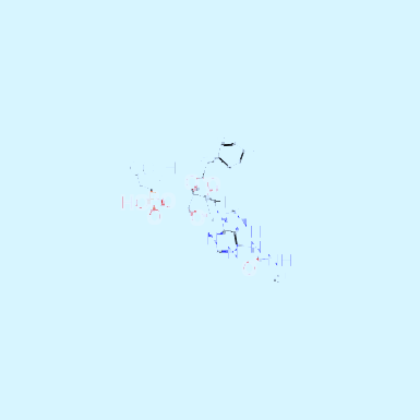 CCNC(=O)Nc1ncnc2c1ncn2[C@@H]1O[C@H](COP(=O)(O)CCC(=O)O)C2OC(Cc3ccccc3)O[C@@H]21